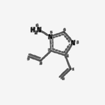 C=Cc1ncn(N)c1C=C